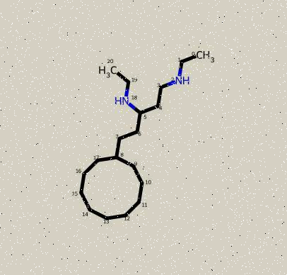 CCNCCC(CCC1CCCCCCCCC1)NCC